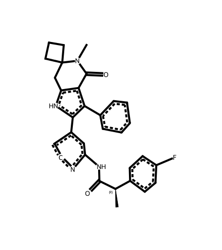 C[C@@H](C(=O)Nc1cc(-c2[nH]c3c(c2-c2ccccc2)C(=O)N(C)C2(CCC2)C3)ccn1)c1ccc(F)cc1